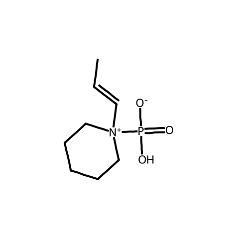 CC=C[N+]1(P(=O)([O-])O)CCCCC1